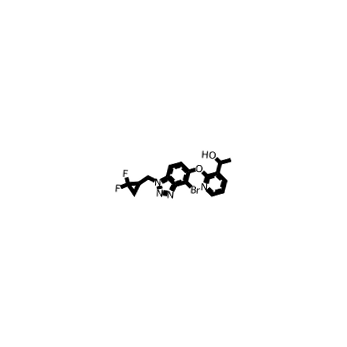 CC(O)c1cccnc1Oc1ccc2c(nnn2CC2CC2(F)F)c1Br